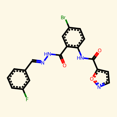 O=C(Nc1ccc(Br)cc1C(=O)N/N=C/c1cccc(F)c1)c1ccno1